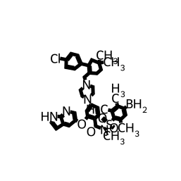 Bc1cc(C)c(S(=O)(=O)N(C)C(=O)c2ccc(N3CCN(CC4=C(c5ccc(Cl)cc5)CC(C)(C)CC4)CC3)cc2Oc2cnc3[nH]ccc3c2)c(C)c1C